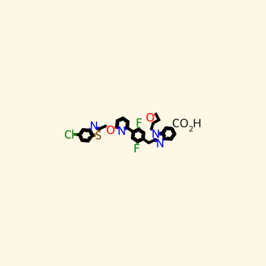 O=C(O)c1ccc2nc(Cc3cc(F)c(-c4cccc(OCc5nc6cc(Cl)ccc6s5)n4)cc3F)n(CC3CCO3)c2c1